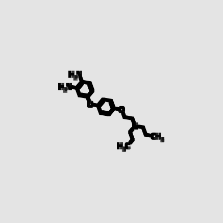 CCCN(CCC)CCOc1ccc(Oc2ccc(N)c(N)c2)cc1